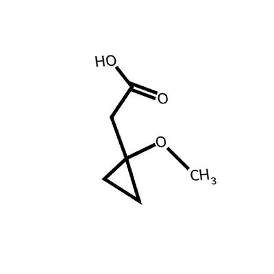 COC1(CC(=O)O)CC1